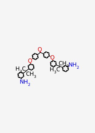 CC(C)(c1cccc(N)c1)c1cccc(Oc2ccc(C(=O)c3ccc(Oc4cccc(C(C)(C)c5cccc(N)c5)c4)cc3)cc2)c1